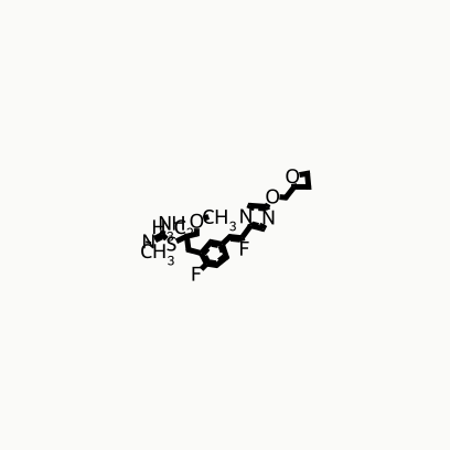 C/N=C(/N)S[C@@](C)(COC)Cc1cc(/C=C(\F)c2cnc(OCC3CCO3)cn2)ccc1F